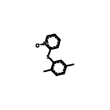 Cc1ccc(C)c(Sc2cccc[n+]2[O-])c1